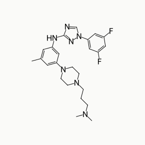 Cc1cc(Nc2ncn(-c3cc(F)cc(F)c3)n2)cc(N2CCN(CCCN(C)C)CC2)c1